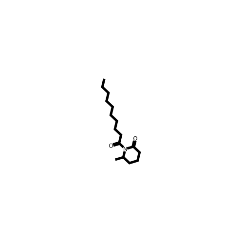 CCCCCCCCCC(=O)N1C(=O)CCCC1C